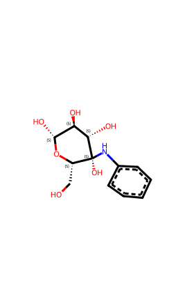 OC[C@@H]1O[C@H](O)[C@@H](O)[C@H](O)[C@@]1(O)Nc1ccccc1